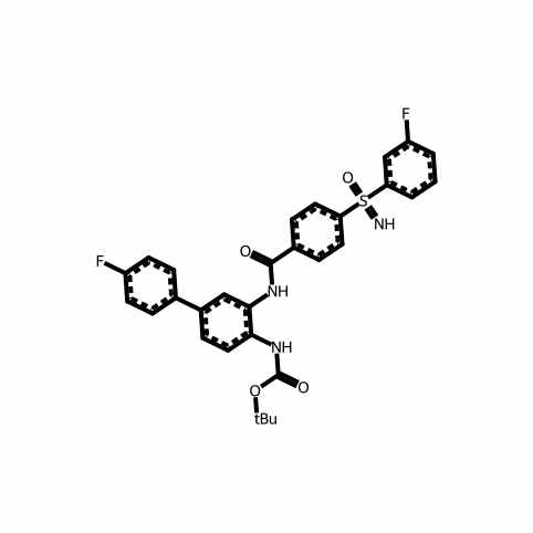 CC(C)(C)OC(=O)Nc1ccc(-c2ccc(F)cc2)cc1NC(=O)c1ccc(S(=N)(=O)c2cccc(F)c2)cc1